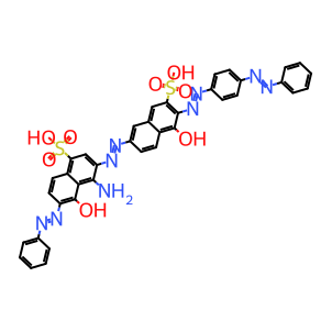 Nc1c(N=Nc2ccc3c(O)c(N=Nc4ccc(N=Nc5ccccc5)cc4)c(S(=O)(=O)O)cc3c2)cc(S(=O)(=O)O)c2ccc(N=Nc3ccccc3)c(O)c12